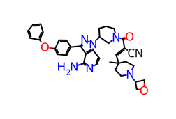 CC1(C=C(C#N)C(=O)N2CCCC(n3nc(-c4ccc(Oc5ccccc5)cc4)c4c(N)nccc43)C2)CCN(C2COC2)CC1